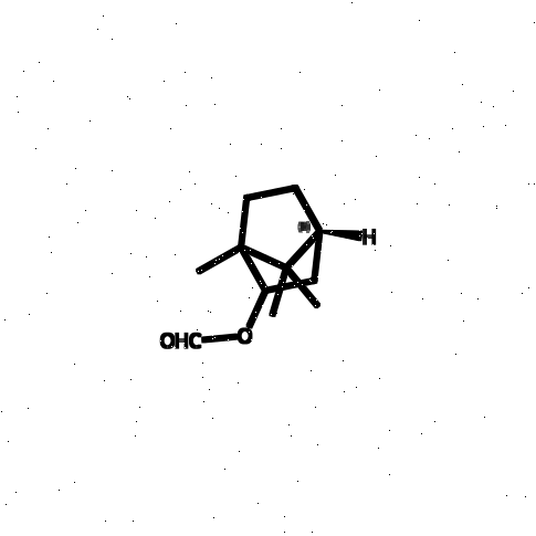 CC12CC[C@H](CC1OC=O)C2(C)C